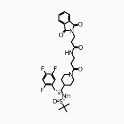 CC(C)(C)[S+]([O-])N[C@H](Cc1cc(F)c(F)cc1F)C1CCN(C(=O)CCNC(=O)CCN2C(=O)c3ccccc3C2=O)CC1